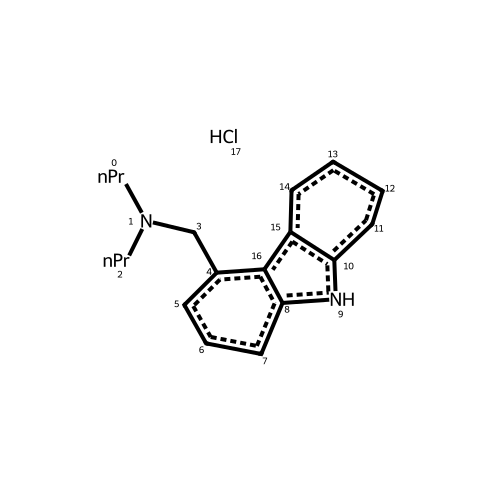 CCCN(CCC)Cc1cccc2[nH]c3ccccc3c12.Cl